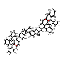 c1ccc(-c2c3ccccc3c(-c3ccc4c(c3)oc3ccc5c(ccc6oc7cc(-c8c9ccccc9c(-c9ccccc9-c9cccc%10ccccc9%10)c9ccccc89)ccc7c65)c34)c3ccccc23)c(-c2cccc3ccccc23)c1